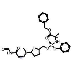 C[C@@H](NP(=S)(OCC1CCC(N(C)/C=C\C(=O)NC=O)O1)Oc1ccccc1)C(=O)OCc1ccccc1